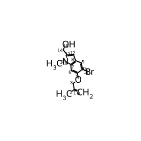 C=C(C)COc1cc2c(cc1Br)cc(CO)n2C